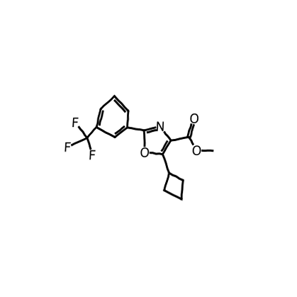 COC(=O)c1nc(-c2cccc(C(F)(F)F)c2)oc1C1CCC1